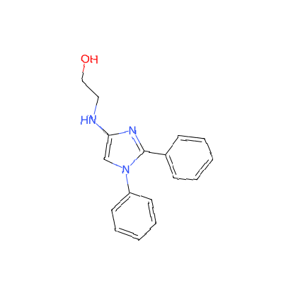 OCCNc1cn(-c2ccccc2)c(-c2ccccc2)n1